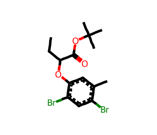 CCC(Oc1cc(C)c(Br)cc1Br)C(=O)OC(C)(C)C